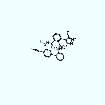 CC#Cc1ccc(-c2ccccc2NC(=O)c2c(C(N)=O)cccc2-c2c(C)nn(C)c2F)cc1